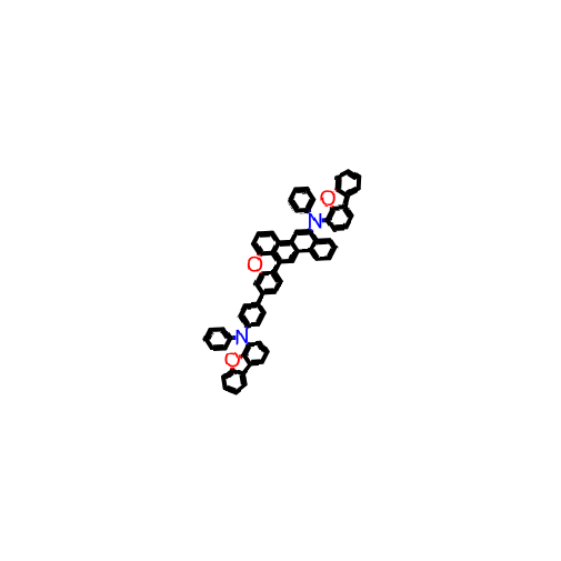 c1ccc(N(c2ccc(-c3ccc4c(c3)Oc3cccc5c3c-4cc3c4ccccc4c(N(c4ccccc4)c4cccc6c4oc4ccccc46)cc53)cc2)c2cccc3c2oc2ccccc23)cc1